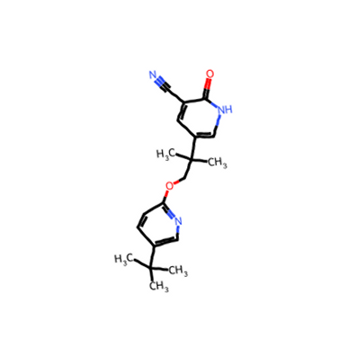 CC(C)(C)c1ccc(OCC(C)(C)c2c[nH]c(=O)c(C#N)c2)nc1